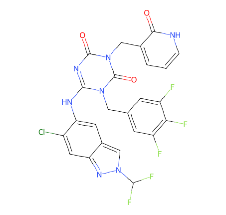 O=c1[nH]cccc1Cn1c(=O)nc(Nc2cc3cn(C(F)F)nc3cc2Cl)n(Cc2cc(F)c(F)c(F)c2)c1=O